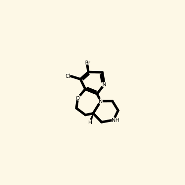 Clc1c(Br)cnc2c1OCC[C@H]1CNCCN21